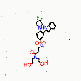 CN(CCC(=O)N(CCO)CCO)S(=O)(=O)c1ccc(N2CCC(F)(F)C2)c(-c2cc3ccccc3[nH]2)c1